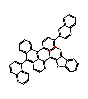 c1ccc2cc(-c3ccc(-c4c5ccccc5c(-c5cccc6ccccc56)c5cccc(-c6cccc7c6oc6ccccc67)c45)cc3)ccc2c1